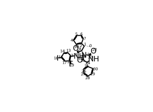 C[C@@H](c1ccccc1)[C@@H](C(=O)Nc1ccc(I)cc1F)N1C(=O)N[C@H](c2ccccc2)C1=O